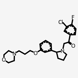 O=C(CN1CCCC1c1cccc(OCCCN2CCOCC2)c1)c1ccc(F)c(Cl)c1